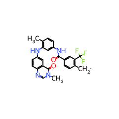 [CH2]c1ccc(C(=O)Nc2ccc(C)c(Nc3ccc4ncn(C)c(=O)c4c3)c2)cc1C(F)(F)F